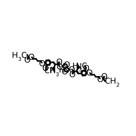 C=CC(=O)OCCCCOc1ccc(/C=C(\C#N)C(=O)O[C@H]2CO[C@H]3C2OC[C@H]3OC(=O)/C(C#N)=C/c2ccc(OCCCCOC(=O)CC)c(OC)c2)cc1OC